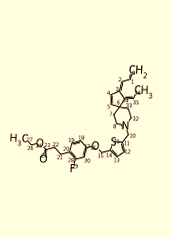 C=C/C=C1/C=CC2(CCN(Cc3ccc(COc4ccc(CCC(=O)OCC)c(F)c4)s3)CC2)/C1=C/C